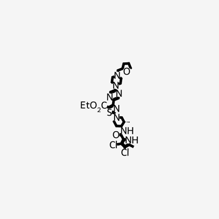 CCOC(=O)c1sc(N2CC[C@@H](NC(=O)c3[nH]c(C)c(Cl)c3Cl)[C@@H](C)C2)nc1-c1cnc(N2CCN(CC3CCCO3)CC2)cn1